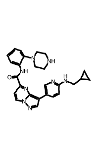 O=C(Nc1ccccc1N1CCNCC1)c1ccn2ncc(-c3ccc(NCC4CC4)nc3)c2n1